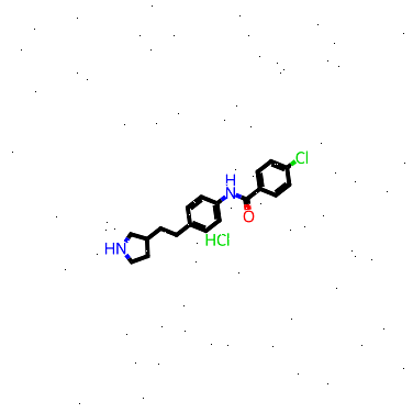 Cl.O=C(Nc1ccc(CCC2CCNC2)cc1)c1ccc(Cl)cc1